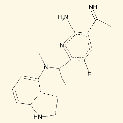 CC(=N)c1cc(F)c(C(C)N(C)C2=CC=CC3NCCC23)nc1N